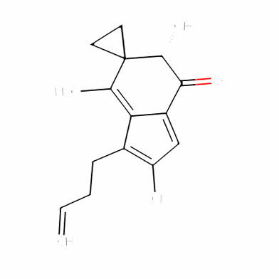 C=CCCC1=C(C)C=C2C(=O)[C@@H](C)C3(CC3)C(C)=C21